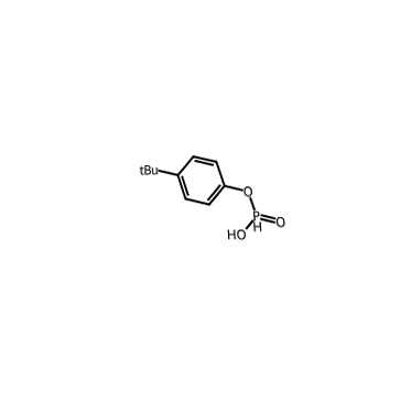 CC(C)(C)c1ccc(O[PH](=O)O)cc1